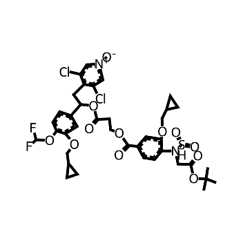 CC(C)(C)OC(=O)CN(c1ccc(C(=O)OCCC(=O)OC(Cc2c(Cl)c[n+]([O-])cc2Cl)c2ccc(OC(F)F)c(OCC3CC3)c2)cc1OCC1CC1)[SH](=O)=O